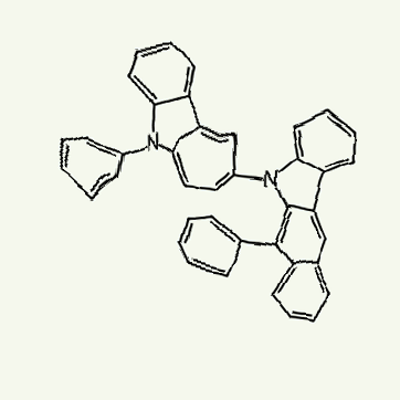 c1ccc(-c2c3ccccc3cc3c4ccccc4n(-c4ccc5c(c4)c4ccccc4n5-c4ccccc4)c23)cc1